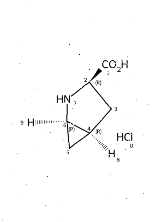 Cl.O=C(O)[C@H]1C[C@H]2C[C@H]2N1